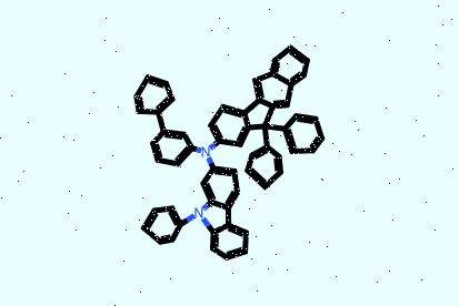 c1ccc(-c2cccc(N(c3ccc4c(c3)C(c3ccccc3)(c3ccccc3)c3cc5ccccc5cc3-4)c3ccc4c5ccccc5n(-c5ccccc5)c4c3)c2)cc1